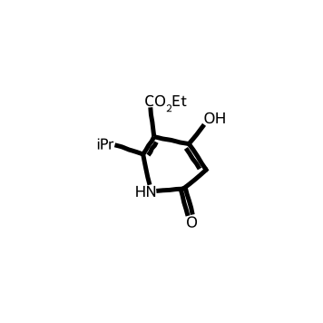 CCOC(=O)c1c(O)cc(=O)[nH]c1C(C)C